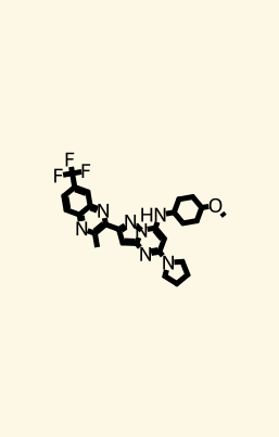 COC1CCC(Nc2cc(N3CCCC3)nc3cc(-c4nc5cc(C(F)(F)F)ccc5nc4C)nn23)CC1